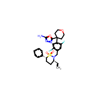 C=C[C@H]1CC[C@H](c2ccccc2)S(=O)(=O)N1Cc1cc(F)c(C2(c3nnc(N)o3)CCOCC2)cc1F